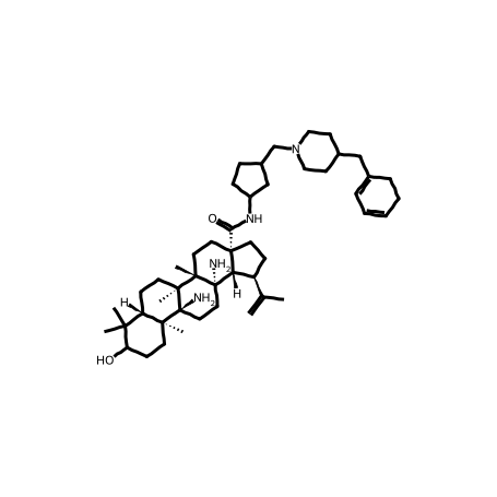 C=C(C)[C@@H]1CC[C@]2(C(=O)NC3CCC(CN4CCC(CC5=CC=CCC5)CC4)C3)CC[C@@]3(C)[C@]4(C)CC[C@H]5C(C)(C)C(O)CC[C@]5(C)[C@@]4(N)CC[C@]3(N)[C@@H]12